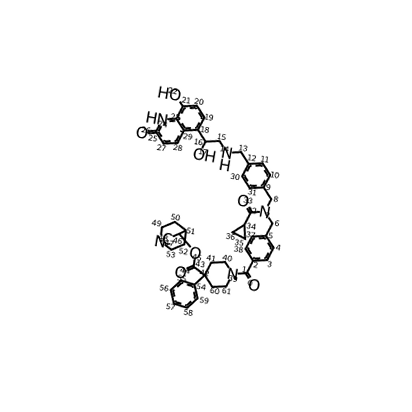 O=C(c1ccc(CN(Cc2ccc(CNCC(O)c3ccc(O)c4[nH]c(=O)ccc34)cc2)C(=O)C2CC2)cc1)N1CCC(C(=O)OC2CN3CCC2CC3)(c2ccccc2)CC1